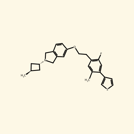 Cc1cc(CCOc2ccc3c(c2)CN([C@H]2C[C@H](C)C2)C3)c(F)cc1-c1ccsc1